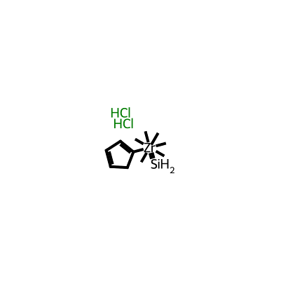 Cl.Cl.[CH3][Zr]([CH3])([CH3])([CH3])([CH3])([CH3])(=[SiH2])[C]1=CC=CC1